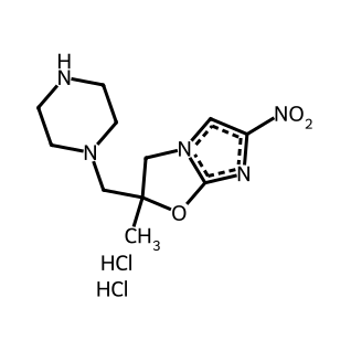 CC1(CN2CCNCC2)Cn2cc([N+](=O)[O-])nc2O1.Cl.Cl